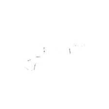 O=C(CCCCC(=O)c1cc2ccccc2s1)NO